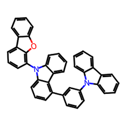 c1cc(-c2cccc3c2c2ccccc2n3-c2cccc3c2oc2ccccc23)cc(-n2c3ccccc3c3ccccc32)c1